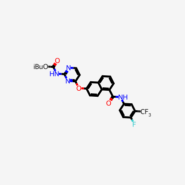 CC(C)COC(=O)Nc1nccc(Oc2ccc3c(C(=O)Nc4ccc(F)c(C(F)(F)F)c4)cccc3c2)n1